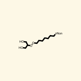 CCCCCCCCCCCCCCCCOOC(CO)CO